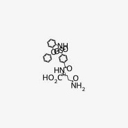 NC(=O)CC[C@H](NC(=O)c1ccc(S(=O)(=O)Nc2ccccc2Oc2ccccc2)cc1)C(=O)O